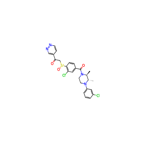 C[C@H]1[C@H](C)N(c2cccc(Cl)c2)CCN1C(=O)c1ccc([S+]([O-])CC(=O)c2ccnnc2)c(Cl)c1